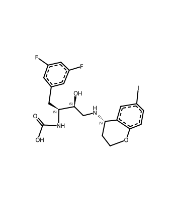 O=C(O)N[C@@H](Cc1cc(F)cc(F)c1)[C@@H](O)CN[C@H]1CCOc2ccc(I)cc21